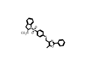 Cc1oc(-c2ccccc2)nc1CSc1ccc(S(=O)(=O)N2c3ccccc3C[C@@H]2C(=O)O)cc1